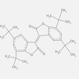 CC(C)(C)c1cc2c(c(C(C)(C)C)c1)OC(=O)C2=C1C(=O)Oc2c1cc(C(C)(C)C)cc2C(C)(C)C